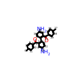 Cc1ccc(C(=O)c2cc(N)ccc2-c2ccc(N)cc2C(=O)c2ccc(C)cc2)cc1